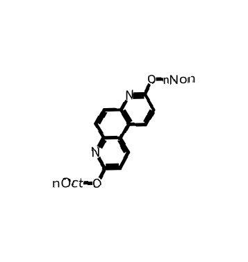 CCCCCCCCCOc1ccc2c(ccc3nc(OCCCCCCCC)ccc32)n1